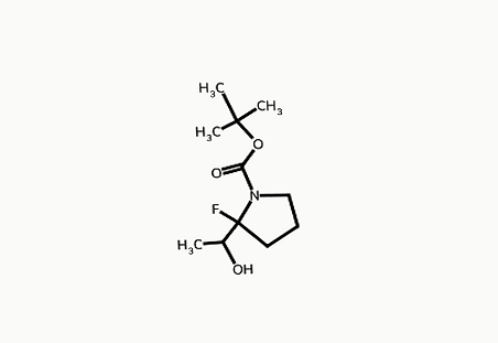 CC(O)C1(F)CCCN1C(=O)OC(C)(C)C